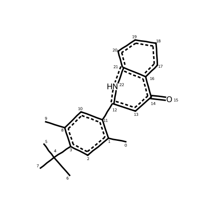 Cc1cc(C(C)(C)C)c(C)cc1-c1cc(=O)c2ccccc2[nH]1